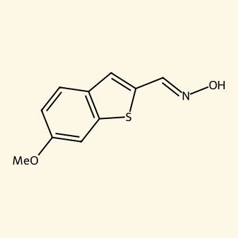 COc1ccc2cc(C=NO)sc2c1